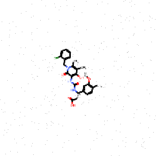 COc1cc([C@H](CC(=O)O)NC(=O)Nc2c(O)c(C)c(C)n(Cc3ccccc3Cl)c2=O)ccc1C